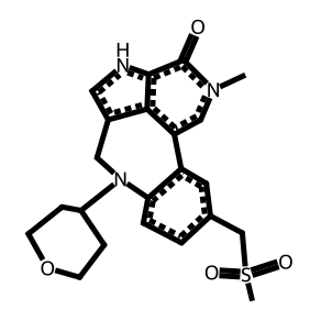 Cn1cc2c3c(c[nH]c3c1=O)CN(C1CCOCC1)c1ccc(CS(C)(=O)=O)cc1-2